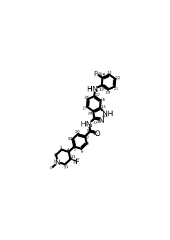 CN1CCC(c2ccc(C(=O)Nc3n[nH]c4cc(Nc5ccccc5F)ccc34)cc2)[C@@H](F)C1